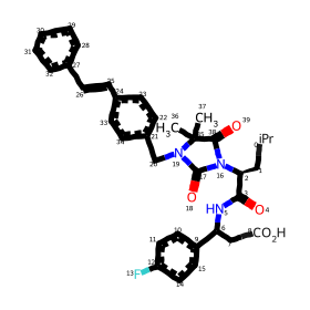 CC(C)C[C@@H](C(=O)NC(CC(=O)O)c1ccc(F)cc1)N1C(=O)N(Cc2ccc(/C=C/c3ccccc3)cc2)C(C)(C)C1=O